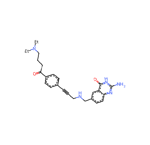 CCN(CC)CCCC(=O)c1ccc(C#CCNCc2ccc3nc(N)[nH]c(=O)c3c2)cc1